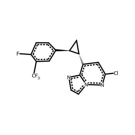 Fc1ccc([C@H]2C[C@@H]2c2cc(Cl)nn3ccnc23)cc1C(F)(F)F